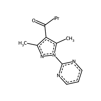 Cc1nn(-c2ncccn2)c(C)c1C(=O)C(C)C